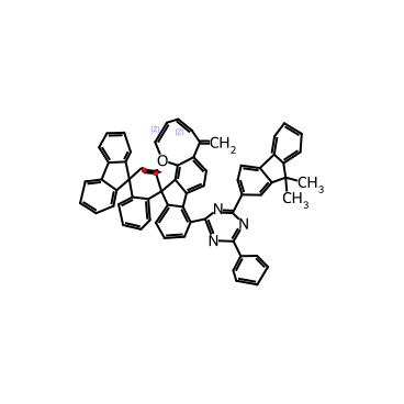 C=C1/C=C\C=C/Oc2c1ccc1c2C2(c3ccccc3C3(c4ccccc4-c4ccccc43)c3ccccc32)c2cccc(-c3nc(-c4ccccc4)nc(-c4ccc5c(c4)C(C)(C)c4ccccc4-5)n3)c2-1